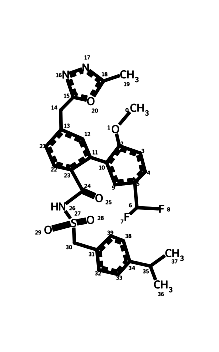 COc1ccc(C(F)F)cc1-c1cc(Cc2nnc(C)o2)ccc1C(=O)NS(=O)(=O)Cc1ccc(C(C)C)cc1